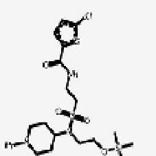 CC(C)N1CCC(N(CCO[Si](C)(C)C(C)(C)C)S(=O)(=O)CCNC(=O)c2ccc(Cl)s2)CC1